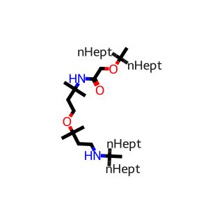 CCCCCCCC(C)(CCCCCCC)NCCC(C)(C)OCCC(C)(C)NC(=O)COC(C)(CCCCCCC)CCCCCCC